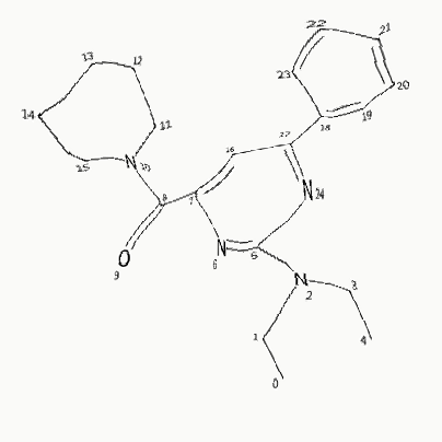 CCN(CC)c1nc(C(=O)N2CCCCC2)cc(-c2ccccc2)n1